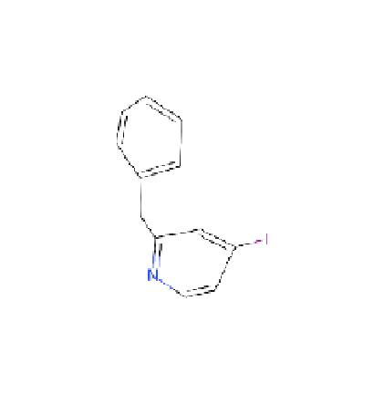 Ic1ccnc(Cc2ccccc2)c1